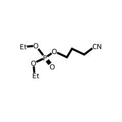 CCOP(=O)(OCC)OCCCC#N